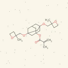 C=C(C)C(=O)OC12CC3CC(OCC4(C)CCO4)(CC(OCC4(C)CCO4)(C3)C1)C2